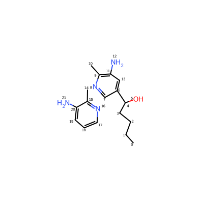 CCCCC(O)c1cnc(C)c(N)c1.Cc1ncccc1N